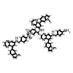 COc1ccc(C(C)Nc2cc(-c3ccc4ccn(C)c4c3)c3nccnc3c2)cn1.Cn1ccc2ccc(-c3cc(NCc4ccc(N)cc4)cc4nccnc34)cc21.Cn1ccc2ccc(-c3cc(NCc4ccc([N+](=O)[O-])cc4)cc4nccnc34)cc21